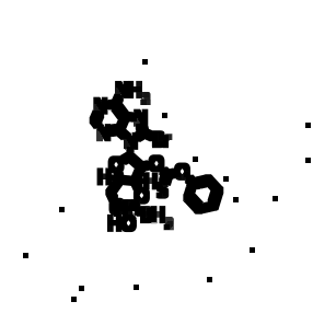 B[PH]1(O)OC[C@H]2O[C@@H](n3c(Br)nc4c(N)ncnc43)C(OC(=S)Oc3ccccc3)[C@H]2O1